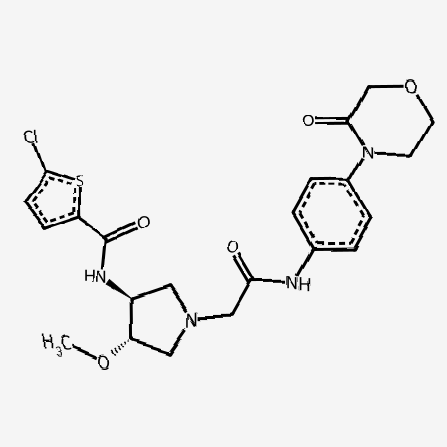 CO[C@H]1CN(CC(=O)Nc2ccc(N3CCOCC3=O)cc2)C[C@@H]1NC(=O)c1ccc(Cl)s1